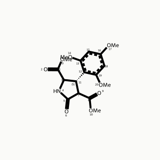 COC(=O)C1NC(=O)C(C(=O)OC)[C@H]1c1c(OC)cc(OC)cc1OC